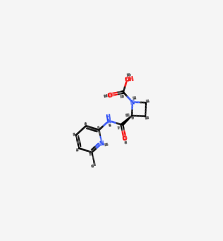 Cc1cccc(NC(=O)[C@@H]2CCN2C(=O)O)n1